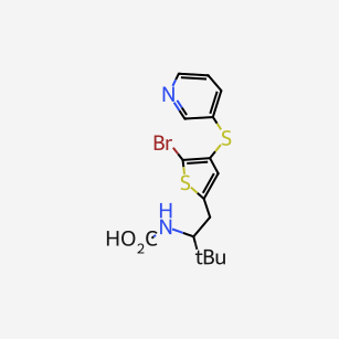 CC(C)(C)C(Cc1cc(Sc2cccnc2)c(Br)s1)NC(=O)O